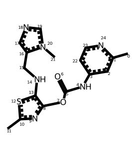 Cc1cc(NC(=O)Oc2nc(C)sc2NCc2cncn2C)ccn1